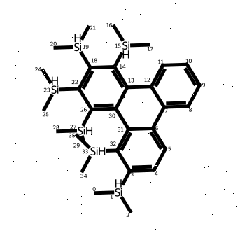 C[SiH](C)c1ccc2c3ccccc3c3c([SiH](C)C)c([SiH](C)C)c([SiH](C)C)c([SiH](C)C)c3c2c1[SiH](C)C